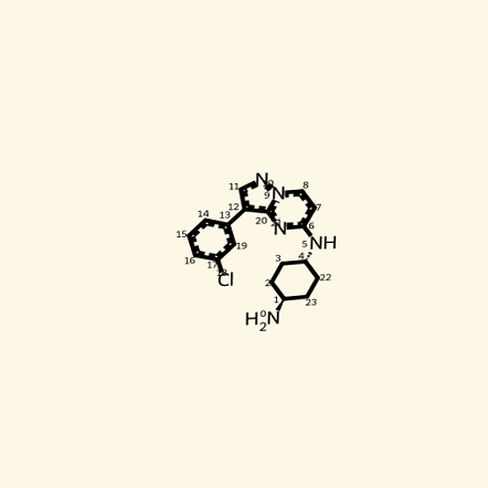 N[C@H]1CC[C@H](Nc2ccn3ncc(-c4cccc(Cl)c4)c3n2)CC1